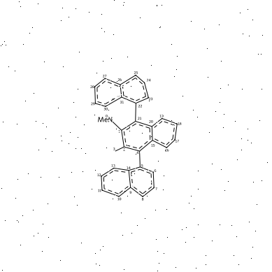 CNc1c(C)c(-c2cccc3ccccc23)c2ccccc2c1-c1cccc2ccccc12